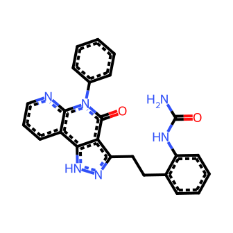 NC(=O)Nc1ccccc1CCc1n[nH]c2c1c(=O)n(-c1ccccc1)c1ncccc21